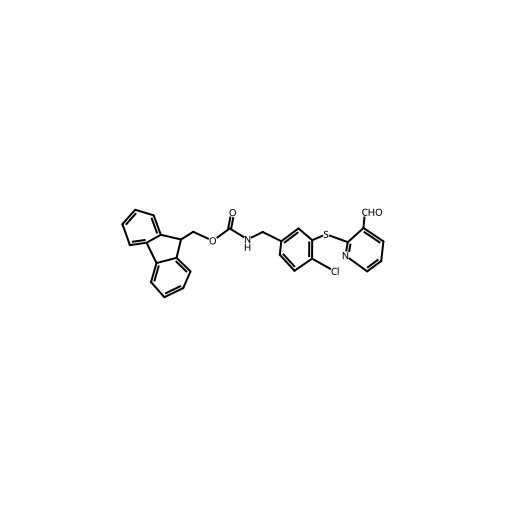 O=Cc1cccnc1Sc1cc(CNC(=O)OCC2c3ccccc3-c3ccccc32)ccc1Cl